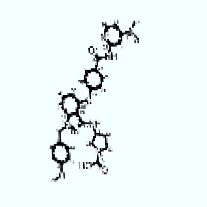 COc1ccc(Cn2nc(NC3CCN(C(=O)O)C3)c3c(Oc4ccc(C(=O)Nc5cc(N(C)C)ccn5)cc4)ccnc32)cc1